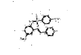 COc1ccc(S(=O)(=O)Nc2ccc(OC)cc2C=Cc2ccncc2)cc1